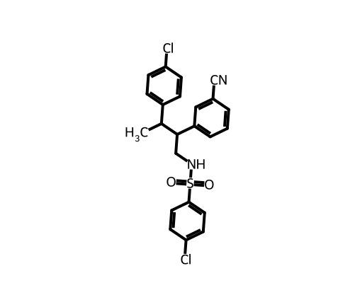 CC(c1ccc(Cl)cc1)C(CNS(=O)(=O)c1ccc(Cl)cc1)c1cccc(C#N)c1